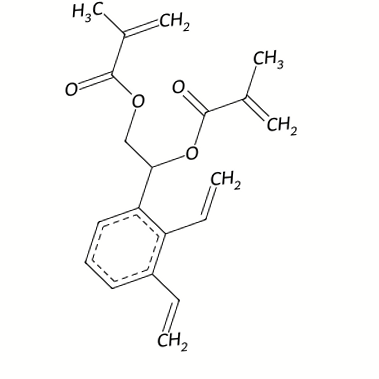 C=Cc1cccc(C(COC(=O)C(=C)C)OC(=O)C(=C)C)c1C=C